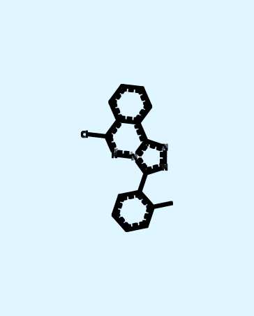 Cc1ccccc1-c1nnc2c3ccccc3c(Cl)nn12